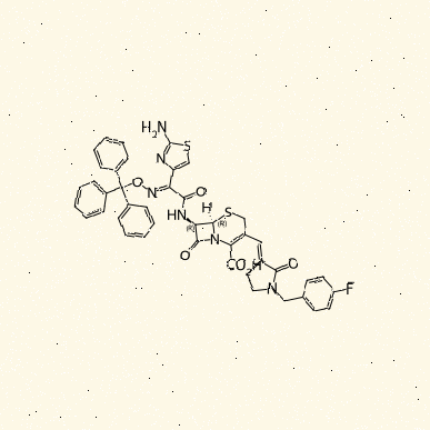 Nc1nc(C(=NOC(c2ccccc2)(c2ccccc2)c2ccccc2)C(=O)N[C@@H]2C(=O)N3C(C(=O)O)=C(C=C4CCN(Cc5ccc(F)cc5)C4=O)CS[C@H]23)cs1